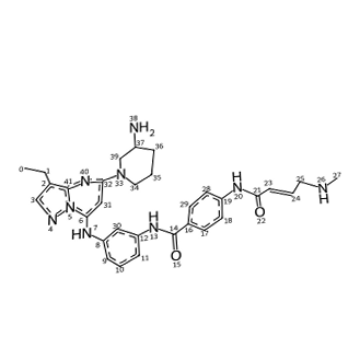 CCc1cnn2c(Nc3cccc(NC(=O)c4ccc(NC(=O)/C=C/CNC)cc4)c3)cc(N3CCCC(N)C3)nc12